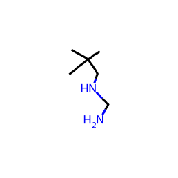 CC(C)(C)CNCN